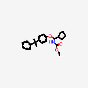 CCOC(=O)NC(Oc1ccc(C(C)(C)c2ccccc2)cc1)C1CCCC1